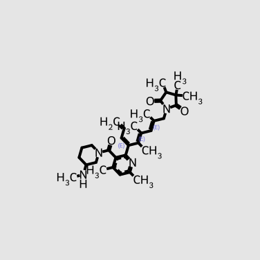 C=C\C=C(/C(C)=C(C)/C=C(\C)CN1C(=O)C(C)C(C)(C)C1=O)c1nc(C)cc(C)c1C(=O)N1CCCC(NC)C1